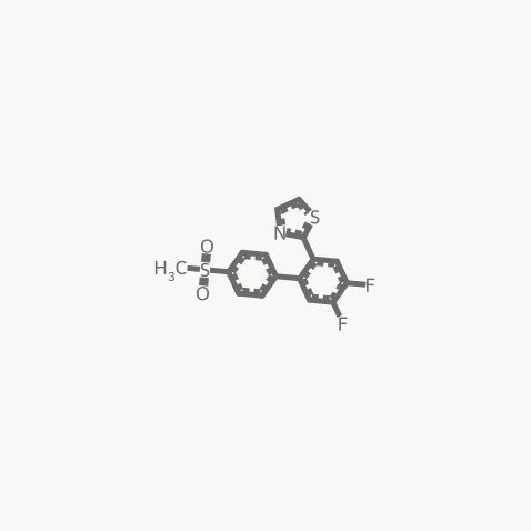 CS(=O)(=O)c1ccc(-c2cc(F)c(F)cc2-c2nccs2)cc1